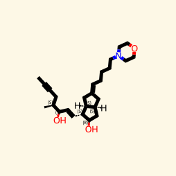 CC#CC[C@H](C)[C@H](O)C=C[C@@H]1[C@H]2CC(=CCCCCN3CCOCC3)C[C@H]2C[C@H]1O